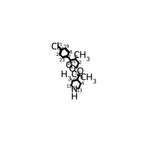 CC(CC(=O)OC(C)(C)C1CCNCC1)C(=O)c1ccc(Cl)cc1